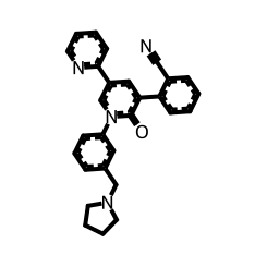 N#Cc1ccccc1-c1cc(-c2ccccn2)cn(-c2cccc(CN3CCCC3)c2)c1=O